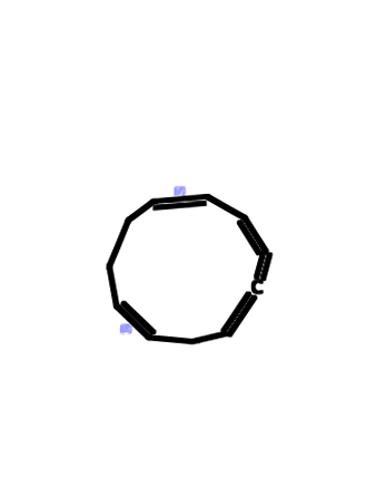 C1=C=C/C=C\CC/C=C\[CH]C=1